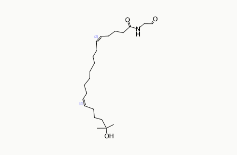 CC(C)(O)CCC/C=C\CCCCCCC/C=C\CCCC(=O)NCC=O